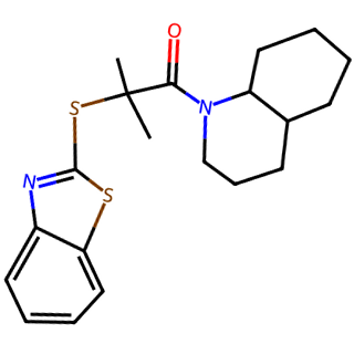 CC(C)(Sc1nc2ccccc2s1)C(=O)N1CCCC2CCCCC21